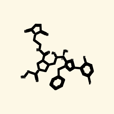 CC(=O)N(CC1CN(C(=O)OC(C)(C)C)CC1C(=O)NCCN1C(=O)C=CC1=O)[C@@H](c1nc(-c2cc(F)ccc2F)cn1Cc1ccccc1)C(C)(C)C